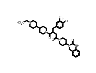 O=C(O)CN1CCC(C2CCN(C(=O)C(CC(=O)N3CCC(N4Cc5ccccc5NC4=O)CC3)Cc3ccc(Cl)c(C(F)(F)F)c3)CC2)CC1